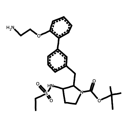 CCS(=O)(=O)NC1CCN(C(=O)OC(C)(C)C)C1Cc1cccc(-c2ccccc2OCCN)c1